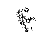 CN(CCc1ccccn1)C(=O)c1ccc2c(c1)nc(-c1cccc([N+](=O)[O-])c1)n2C(CCCNC(=N)N)C(N)=O